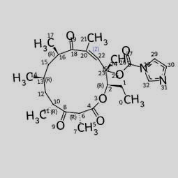 CC[C@H]1OC(=O)[C@H](C)C(=O)[C@H](C)C[C@@H](C)C[C@@H](C)C(=O)/C(C)=C\[C@]1(C)OC(=O)n1ccnc1